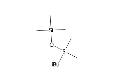 CCC(C)[Si](C)(C)O[Si](C)(C)C